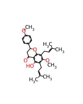 COc1ccc(C2CC(=O)c3c(O)c(CC=C(C)C)c(OC)c(CC=C(C)C)c3O2)cc1